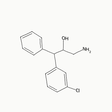 NCC(O)C(c1ccccc1)c1cccc(Cl)c1